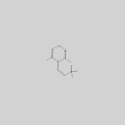 CC1(C)C=Cc2c(C#N)cccc2N1